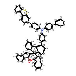 c1ccc(-c2ccc(N(c3ccc(-c4ccc5c(c4)sc4ccccc45)cc3)c3ccc(-c4cccc5c4-c4ccccc4C54c5ccc6ccccc6c5Oc5c4ccc4ccccc54)cc3)cc2)cc1